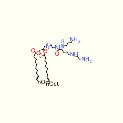 CCCCCCCCC=CCCCCCCCC(=O)OCC(C[N+](C)(C)CCNC(=O)C(CCCNCCCN)NCCCN)OC(=O)CCCCCCCC=CCCCCCCCC